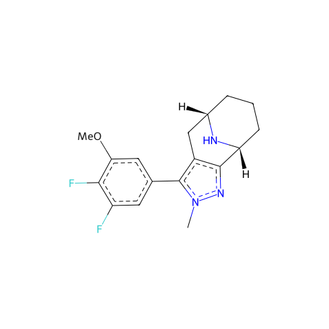 COc1cc(-c2c3c(nn2C)[C@H]2CCC[C@@H](C3)N2)cc(F)c1F